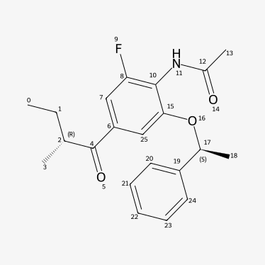 CC[C@@H](C)C(=O)c1cc(F)c(NC(C)=O)c(O[C@@H](C)c2ccccc2)c1